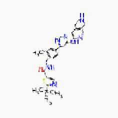 Cc1cc(-c2cc(Nc3cc4c(cn3)CNCC4)ncn2)ccc1CNC(=O)c1cnc(C(C)(C)C)s1